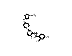 CC(Nc1nc(N2CCC(O[C@H]3CCN(C)C3)CC2)ncc1Cl)c1ccc(Cl)cc1Cl